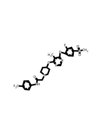 Cc1c(Oc2ccc(S(C)(=O)=O)cc2F)ncnc1OC1CCN(CC(=O)Nc2ccc(C(F)(F)F)cc2)CC1